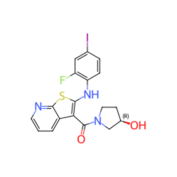 O=C(c1c(Nc2ccc(I)cc2F)sc2ncccc12)N1CC[C@@H](O)C1